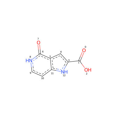 O=C(O)c1cc2c(=O)[nH]ccc2[nH]1